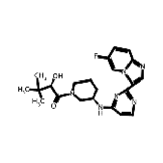 CC(C)(C)[C@@H](O)C(=O)N1CCC[C@@H](Nc2ccnc(-c3cnc4ccc(F)cn34)n2)C1